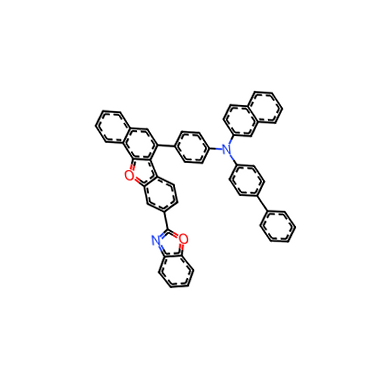 c1ccc(-c2ccc(N(c3ccc(-c4cc5ccccc5c5oc6cc(-c7nc8ccccc8o7)ccc6c45)cc3)c3ccc4ccccc4c3)cc2)cc1